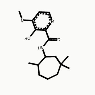 COc1ccnc(C(=O)NC2CC(C)(C)CCCC2C)c1O